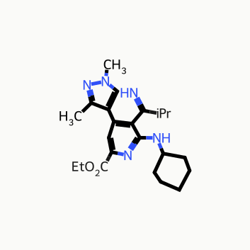 CCOC(=O)c1cc(-c2cn(C)nc2C)c(C(=N)C(C)C)c(NC2CCCCC2)n1